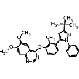 COc1cc2ncnc(Oc3cccc(-c4cc(C(C)(C)C)nn4-c4ccccc4)c3C)c2cc1OC